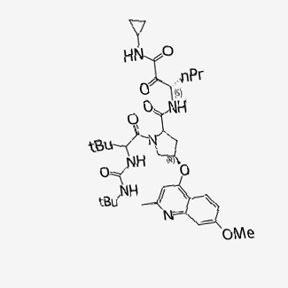 CCC[C@H](NC(=O)C1C[C@@H](Oc2cc(C)nc3cc(OC)ccc23)CN1C(=O)C(NC(=O)NC(C)(C)C)C(C)(C)C)C(=O)C(=O)NC1CC1